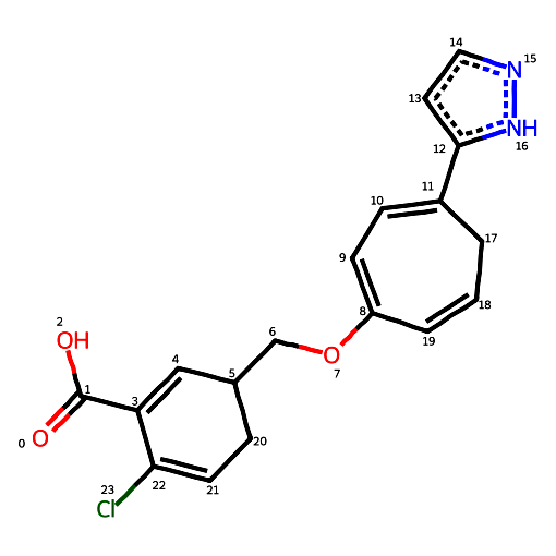 O=C(O)C1=CC(COC2=CC=C(c3ccn[nH]3)CC=C2)CC=C1Cl